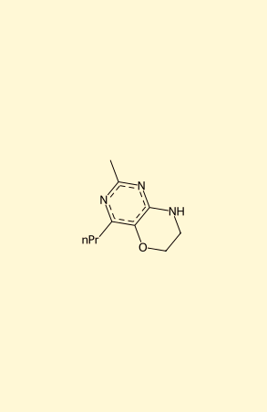 CCCc1nc(C)nc2c1OCCN2